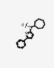 CN(c1ccc(-c2ccccc2)s1)C1CCCCCC1